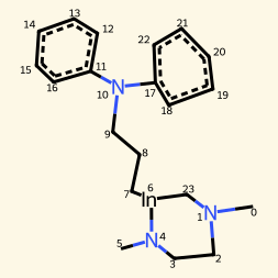 CN1CC[N](C)[In]([CH2]CCN(c2ccccc2)c2ccccc2)[CH2]1